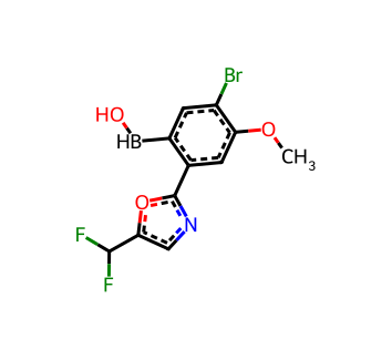 COc1cc(-c2ncc(C(F)F)o2)c(BO)cc1Br